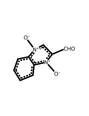 O=Cc1c[n+]([O-])c2ccccc2[n+]1[O-]